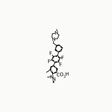 C=NN(C)c1c(C)cc(-c2c(F)c(F)c(-c3cccc(CN4CCN(C)CC4)c3)c(F)c2F)cc1C(=O)O